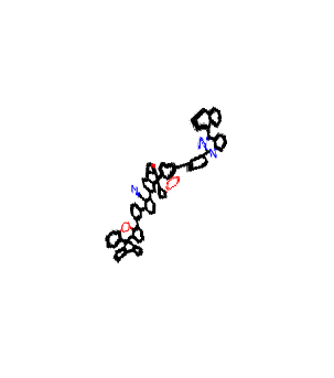 N#CC1C(c2ccc3c(c2)C2(c4ccccc4Oc4c(-c5cccc(-c6nc(-c7cccc8ccccc78)c7ccccc7n6)c5)cccc42)c2ccccc2-3)C=CCC1c1cccc(-c2cccc3c2Oc2ccccc2C32c3ccccc3-c3ccccc32)c1